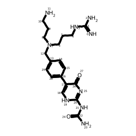 N=C(N)NCCCN(CCCN)Cc1ccc(-c2c[nH]c(NC(N)=O)nc2=O)cc1